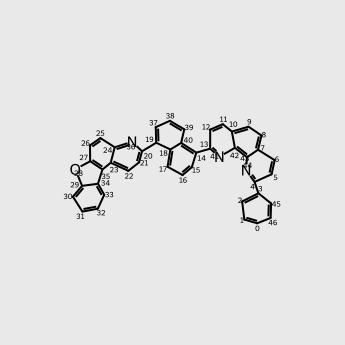 c1ccc(-c2ccc3ccc4ccc(-c5cccc6c(-c7ccc8c(ccc9oc%10ccccc%10c98)n7)cccc56)nc4c3n2)cc1